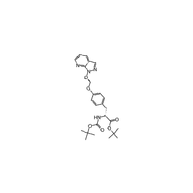 CC(C)(C)OC(=O)N[C@H](Cc1ccc(OCOn2ncc3cccnc32)cc1)C(=O)OC(C)(C)C